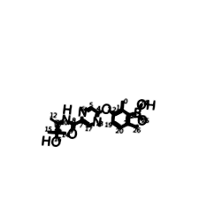 Cc1c(Oc2cnc(C(=O)N[C@H](C)C(C)(C)O)cn2)ccc2c1B(O)OC2